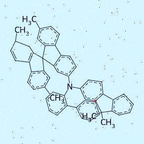 Cc1ccc2c(c1)C1(C3=C2C=CC(C)C3)c2cc(C)ccc2-c2ccc(N(c3ccc4c(c3)C(C)(C)c3ccccc3-4)c3ccccc3-c3ccccc3)cc21